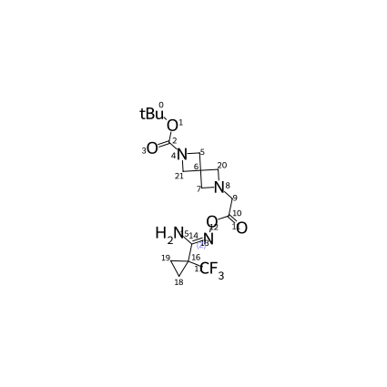 CC(C)(C)OC(=O)N1CC2(CN(CC(=O)O/N=C(\N)C3(C(F)(F)F)CC3)C2)C1